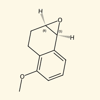 COc1cccc2c1CC[C@H]1O[C@@H]21